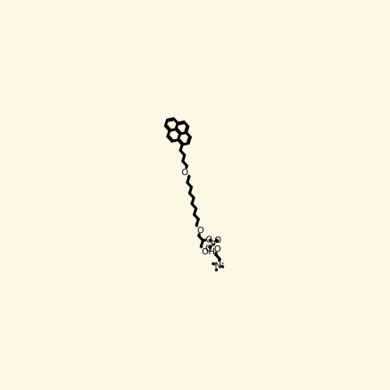 C[N+](C)(C)CCOP(=O)([O-])OC(CO)COCCCCCCCCCCOCCCCc1ccc2ccc3cccc4ccc1c2c34